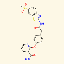 CS(=O)(=O)c1ccc2nc(NC(=O)Cc3ccc(Oc4ncccc4C(N)=O)cc3)sc2c1